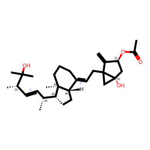 C=C1[C@@H](OC(C)=O)C[C@@]2(O)CC12C/C=C1\CCC[C@]2(C)[C@@H]([C@H](C)/C=C/[C@H](C)C(C)(C)O)CC[C@@H]12